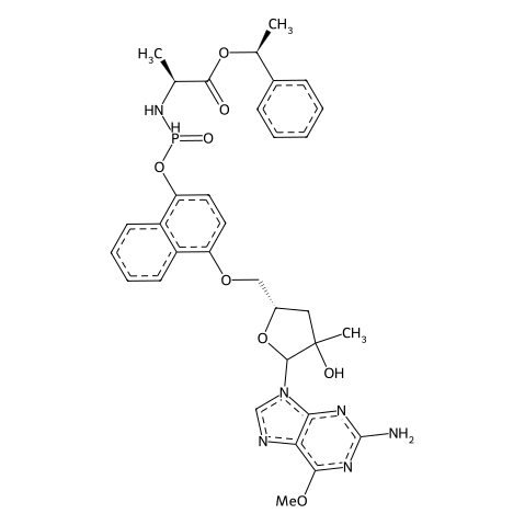 COc1nc(N)nc2c1ncn2C1O[C@H](COc2ccc(O[PH](=O)N[C@@H](C)C(=O)O[C@@H](C)c3ccccc3)c3ccccc23)CC1(C)O